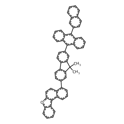 CC1(C)c2cc(-c3c4ccccc4c(-c4ccc5ccccc5c4)c4ccccc34)ccc2-c2ccc(-c3cccc4c3ccc3oc5ccccc5c34)cc21